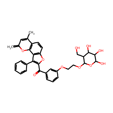 C=C1C=C(C)c2ccc3oc(C(=O)c4cccc(OCCOC5OC(O)C(O)C(O)C5CO)c4)c(-c4ccccc4)c3c2O1